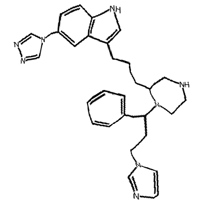 c1ccc(C(CCn2ccnc2)N2CCNCC2CCCc2c[nH]c3ccc(-n4cnnc4)cc23)cc1